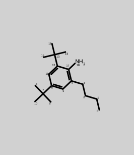 CCCCc1cc(C(C)(C)C)cc(C(C)(C)C)c1N